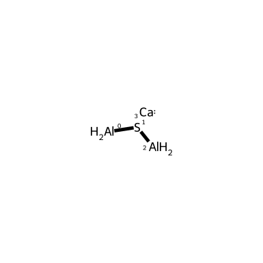 [AlH2][S][AlH2].[Ca]